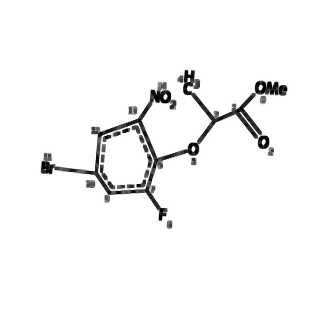 COC(=O)C(C)Oc1c(F)cc(Br)cc1[N+](=O)[O-]